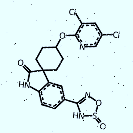 O=C1Nc2ccc(C3=NOS(=O)N3)cc2C12CCC(Oc1ncc(Cl)cc1Cl)CC2